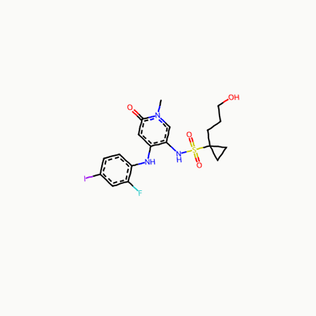 Cn1cc(NS(=O)(=O)C2(CCCO)CC2)c(Nc2ccc(I)cc2F)cc1=O